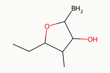 BC1OC(CC)C(C)C1O